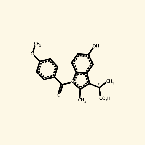 Cc1c([C@@H](C)C(=O)O)c2cc(O)ccc2n1C(=O)c1ccc(OC(F)(F)F)cc1